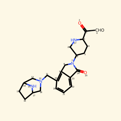 O=CC(=O)C1CCC(N2Cc3c(CN4CC5CCC(C4)N5)cccc3C2=O)CN1